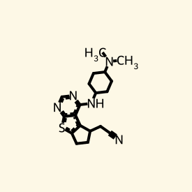 CN(C)C1CCC(Nc2ncnc3sc4c(c23)C(CC#N)CC4)CC1